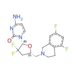 Nc1ccn([C@@H]2O[C@H](CN3CCc4c(F)cc(F)cc4C3)CC2(F)F)c(=O)n1